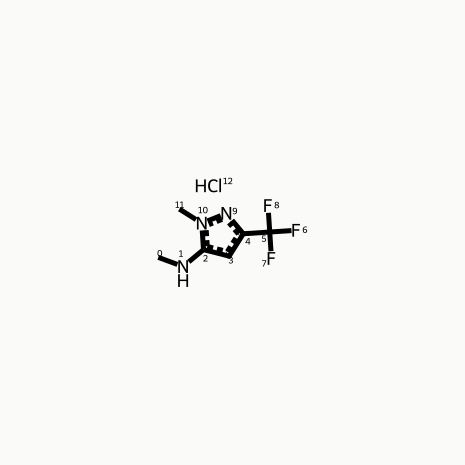 CNc1cc(C(F)(F)F)nn1C.Cl